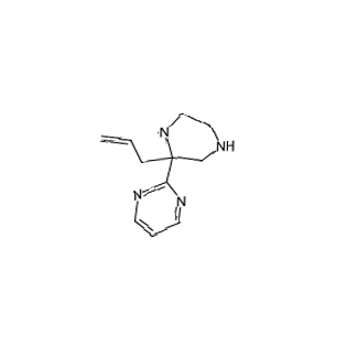 C=CCC1(c2ncccn2)CNCC[N]1